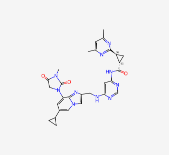 Cc1cc(C)nc([C@H]2C[C@@H]2C(=O)Nc2cc(NCc3cn4cc(C5CC5)cc(N5CC(=O)N(C)C5=O)c4n3)ncn2)n1